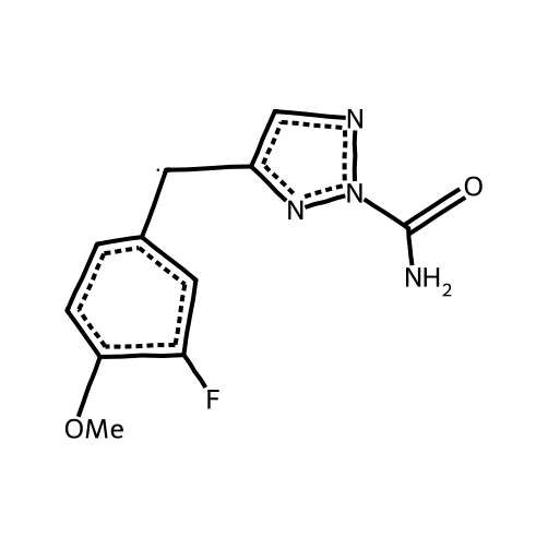 COc1ccc([CH]c2cnn(C(N)=O)n2)cc1F